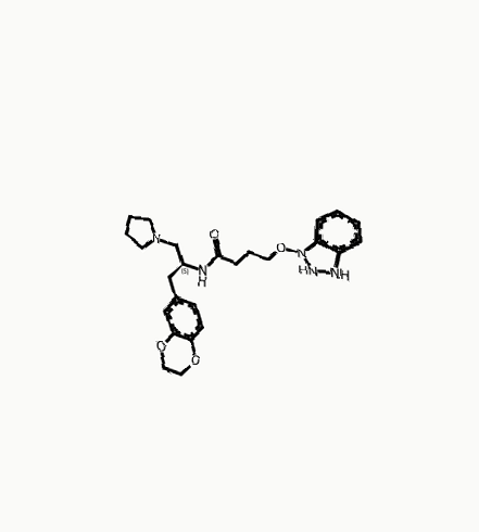 O=C(CCCON1NNc2ccccc21)N[C@@H](Cc1ccc2c(c1)OCCO2)CN1CCCC1